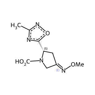 CO/N=C1\C[C@@H](c2nc(C)no2)N(C(=O)O)C1